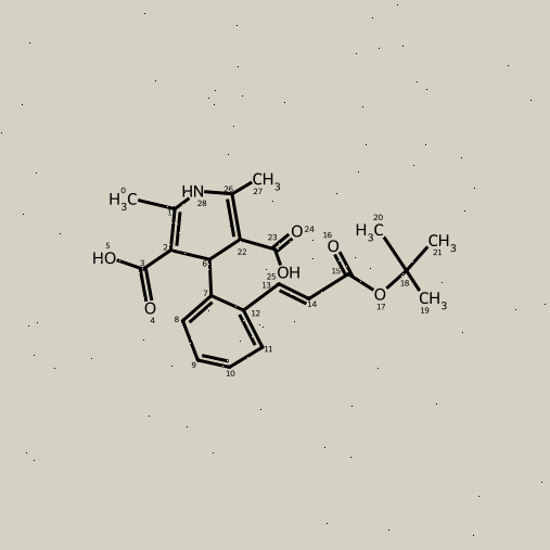 CC1=C(C(=O)O)C(c2ccccc2C=CC(=O)OC(C)(C)C)C(C(=O)O)=C(C)N1